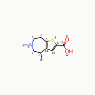 CC1CN(C)CCc2sc(C(=O)O)cc21